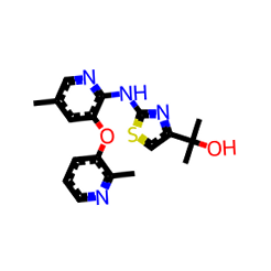 Cc1cnc(Nc2nc(C(C)(C)O)cs2)c(Oc2cccnc2C)c1